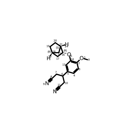 COc1ccc(C(CC#N)CC#N)cc1O[C@@H]1C[C@@H]2CC[C@H]1C2